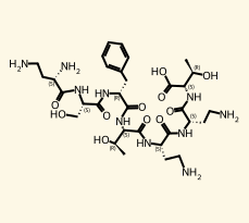 C[C@@H](O)[C@H](NC(=O)[C@H](CCN)NC(=O)[C@H](CCN)NC(=O)[C@@H](NC(=O)[C@@H](Cc1ccccc1)NC(=O)[C@H](CO)NC(=O)[C@@H](N)CCN)[C@@H](C)O)C(=O)O